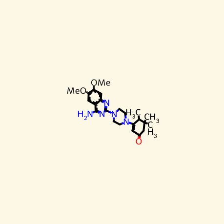 COc1cc2nc(N3CCN(C4=CC(=O)CC(C)(C)C4C)CC3)nc(N)c2cc1OC